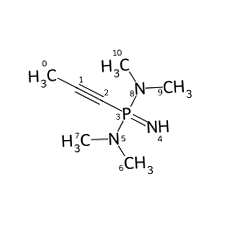 CC#CP(=N)(N(C)C)N(C)C